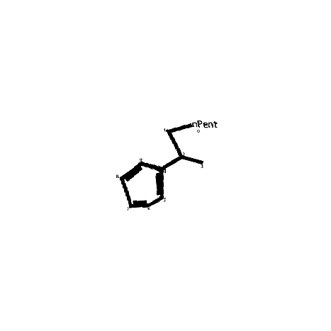 CCCCCCC(C)c1c[c]ccc1